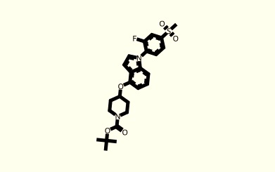 CC(C)(C)OC(=O)N1CCC(Oc2cccc3c2ccn3-c2ccc(S(C)(=O)=O)cc2F)CC1